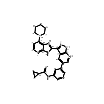 O=C(Nc1cncc(-c2cnc3[nH]nc(-c4nc5c(N6CCCCC6)ccnc5[nH]4)c3c2)c1)C1CC1